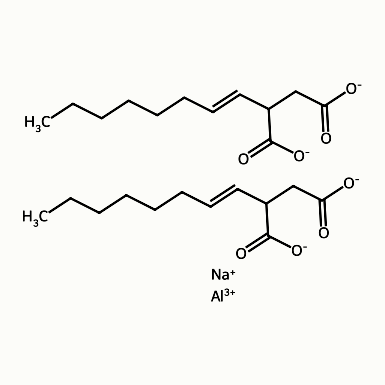 CCCCCCC=CC(CC(=O)[O-])C(=O)[O-].CCCCCCC=CC(CC(=O)[O-])C(=O)[O-].[Al+3].[Na+]